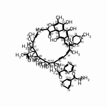 CO[C@H]1/C=C/O[C@@]2(C)Oc3c(C)c(O)c4c(O)c(c(C=NN5CCN(C)CC5)c(O)c4c3C2=O)NC(=O)/C(C)=C\C=C\[C@H](C)[C@H](O)[C@@H](C)[C@@H](O)[C@@H](C)[C@H](OC(C)=O)[C@@H]1C.NC(=O)c1cnccn1.NNC(=O)c1ccncc1